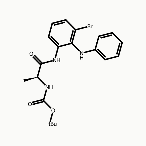 C[C@H](NC(=O)OC(C)(C)C)C(=O)Nc1cccc(Br)c1Nc1ccccc1